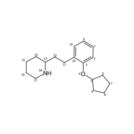 c1ccc(OC2CCCC2)c(CCC2CCCCN2)c1